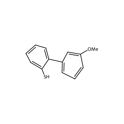 COc1cccc(-c2ccccc2S)c1